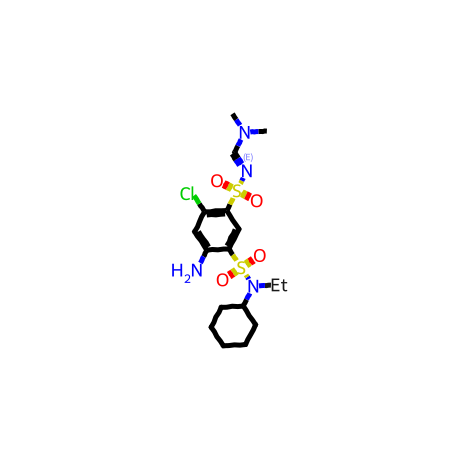 CCN(C1CCCCC1)S(=O)(=O)c1cc(S(=O)(=O)/N=C/N(C)C)c(Cl)cc1N